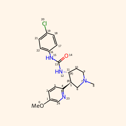 COc1ccc([C@@H]2CN(C)CC[C@H]2NC(=O)Nc2ccc(Cl)cc2)nc1